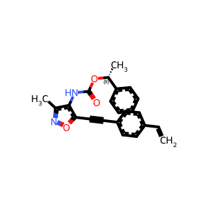 C=Cc1ccc(C#Cc2onc(C)c2NC(=O)O[C@H](C)c2ccccc2)cc1